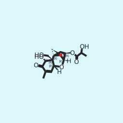 CC1=C[C@H]2O[C@@H]3[C@H](OC(=O)C(C)O)C[C@@](C)(C34CO4)[C@@]2(CO)[C@H](O)C1=O